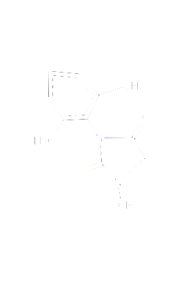 Cc1cccc(C)c1N1C(=O)CN(C)C1=S